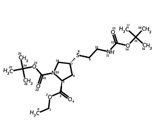 CCOC(=O)[C@@H]1C[C@@H](SCCNC(=O)OC(C)(C)C)CN1C(=O)OC(C)(C)C